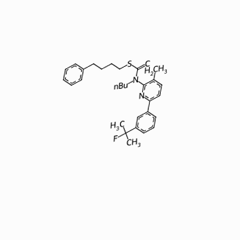 C=C(SCCCCc1ccccc1)N(CCCC)c1nc(-c2cccc(C(C)(C)F)c2)ccc1C